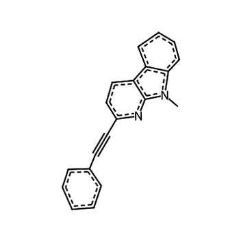 Cn1c2ccccc2c2ccc(C#Cc3ccccc3)nc21